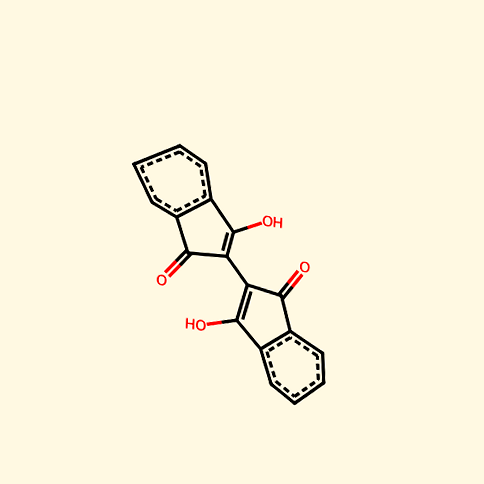 O=C1C(C2=C(O)c3ccccc3C2=O)=C(O)c2ccccc21